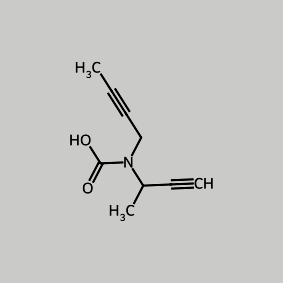 C#CC(C)N(CC#CC)C(=O)O